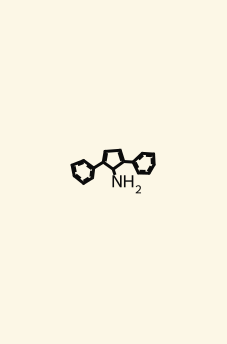 NC1C(c2ccccc2)=CC=C1c1ccccc1